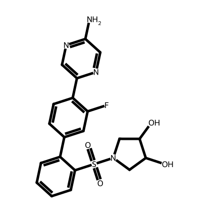 Nc1cnc(-c2ccc(-c3ccccc3S(=O)(=O)N3CC(O)C(O)C3)cc2F)cn1